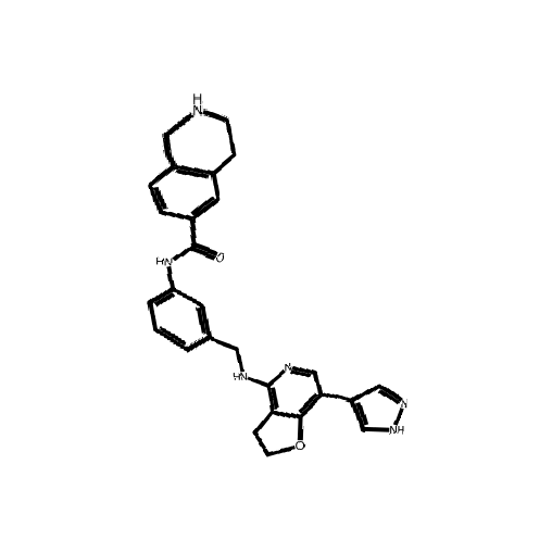 O=C(Nc1cccc(CNc2ncc(-c3cn[nH]c3)c3c2CCO3)c1)c1ccc2c(c1)CCNC2